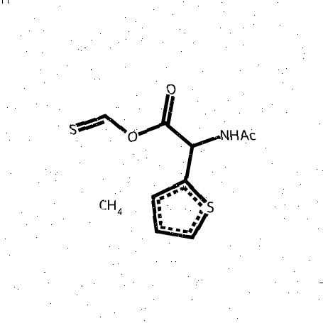 C.CC(=O)NC(C(=O)OC=S)c1cccs1